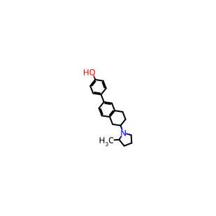 CC1CCCN1C1CCc2cc(-c3ccc(O)cc3)ccc2C1